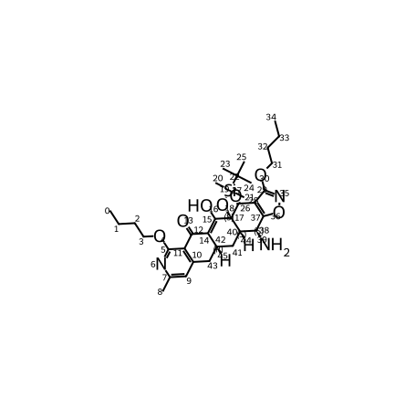 CCCCOc1nc(C)cc2c1C(=O)C1=C(O)[C@]3(O[Si](C)(C)C(C)(C)C)C(=O)c4c(OCCCC)noc4[C@@H](N)[C@@H]3C[C@@H]1C2